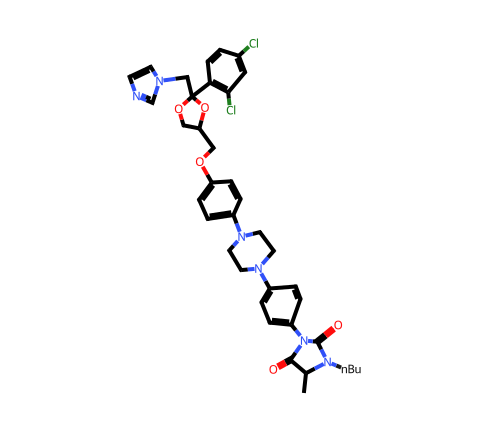 CCCCN1C(=O)N(c2ccc(N3CCN(c4ccc(OCC5COC(Cn6ccnc6)(c6ccc(Cl)cc6Cl)O5)cc4)CC3)cc2)C(=O)C1C